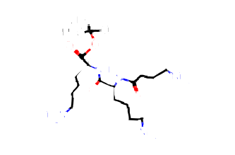 CC(C)(C)OC(=O)[C@H](CCCCN)NC(=O)[C@H](CCCCN)NC(=O)CCCN